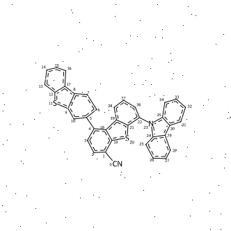 N#Cc1ccc(-c2ccc3c(c2)sc2ccccc23)c2c1sc1c(-n3c4ccccc4c4ccccc43)cccc12